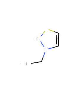 O=[C]CN1C=CSN1